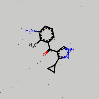 Cc1c(N)cccc1C(=O)c1c[nH]nc1C1CC1